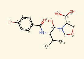 CC(C)[C@H](NC(=O)c1ccc(Br)cc1)C(O)N1COC[C@H]1C(O)O